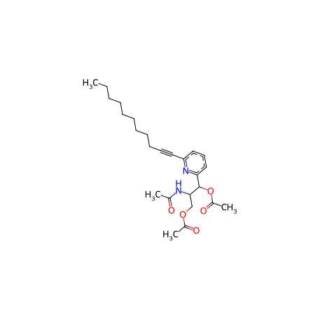 CCCCCCCCCC#Cc1cccc(C(OC(C)=O)C(COC(C)=O)NC(C)=O)n1